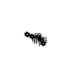 CC1(Cc2c(F)ccc(F)c2F)NC(=O)C(C(=O)Nc2ccc(C3CCCCC3)cc2)=C1O